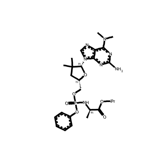 CC(C)OC(=O)[C@@H](C)NP(=O)(OC[C@@H]1CC(C)(C)[C@H](n2cnc3c(N(C)C)nc(N)nc32)O1)Oc1ccccc1